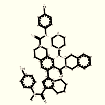 CCc1ccc(OC(=O)N2CCc3cc(-c4cc(C(=O)N(C)c5ccc(O)cc5)c5n4CCCC5)c(C(=O)N4Cc5ccccc5C[C@H]4CN4CCOCC4)cc3C2)cc1